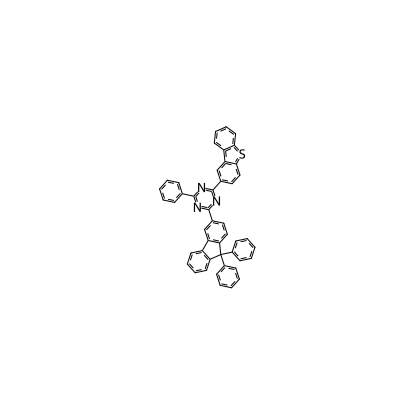 c1ccc(-c2nc(-c3ccc4c(c3)-c3ccccc3C4(c3ccccc3)c3ccccc3)nc(-c3ccc4sc5ccccc5c4c3)n2)cc1